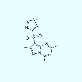 Cc1cc(C)n2nc(C)c(S(=O)(=O)c3nc[nH]n3)c2n1